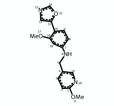 COc1ccc(CNc2ccc(-c3cnco3)c(OC)c2)cn1